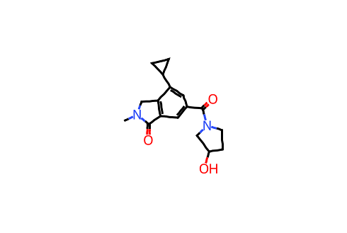 CN1Cc2c(cc(C(=O)N3CCC(O)C3)cc2C2CC2)C1=O